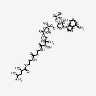 CC(O)C[C@@H](O)C(=O)SCCNC(=O)CCNC(=O)[C@H](O)C(C)(C)COP(=O)(O)OP(=O)(O)OC[C@H]1O[C@@H](n2cnc3c(N)ncnc32)[C@H](O)[C@@H]1OP(=O)(O)O